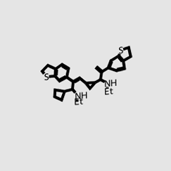 C=C(c1ccc2c(c1)SCC2)C(NCC)C1CC1/C=C(/c1ccc2c(c1)SCC2)C(NCC)C1CCC1